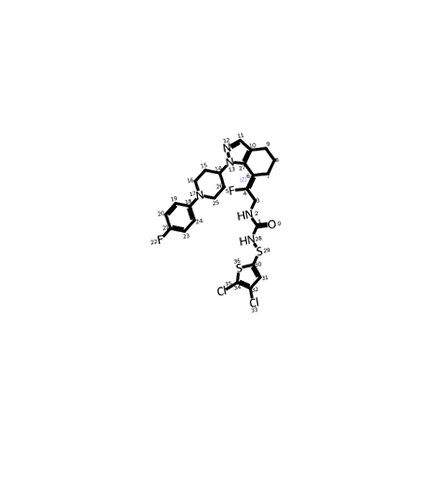 O=C(NC/C(F)=C1\CCCc2cnn(C3CCN(c4ccc(F)cc4)CC3)c21)NSc1cc(Cl)c(Cl)s1